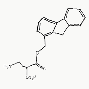 NCC(C(=O)O)C(=O)OCc1cccc2c1Cc1ccccc1-2